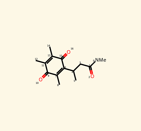 CNC(=O)CC(C)C1=C(C)C(=O)C(C)=C(C)C1=O